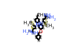 CCc1ccc(Nc2cc(C(=N)N)sc2SC)cc1.CSc1sc(C(=N)N)cc1Nc1ccc(OCc2ccccc2)cc1